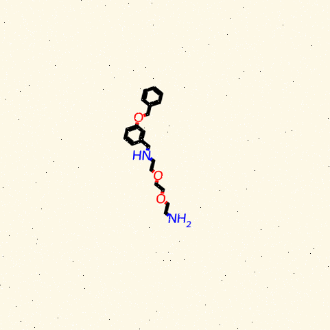 NCCOCCOCCNCc1cccc(OCc2ccccc2)c1